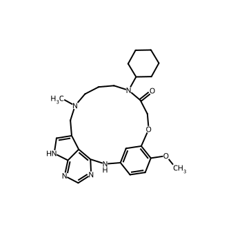 COc1ccc2cc1OCC(=O)N(C1CCCCC1)CCCN(C)Cc1c[nH]c3ncnc(c13)N2